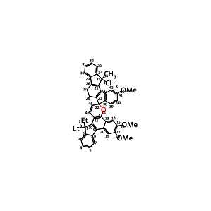 CCC1(CC)c2ccccc2-c2c1c1c(c3cc(OC)c(OC)cc23)OC(C2=CC3=C(CC2)c2ccccc2C3(C)C)(c2ccc(OC)cc2)C=C1